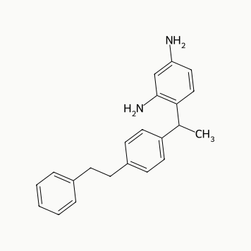 CC(c1ccc(CCc2ccccc2)cc1)c1ccc(N)cc1N